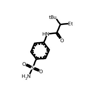 CCC(C(=O)Nc1ccc(S(N)(=O)=O)cc1)C(C)(C)C